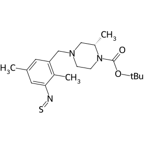 Cc1cc(CN2CCN(C(=O)OC(C)(C)C)[C@@H](C)C2)c(C)c(N=S)c1